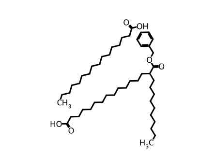 CCCCCCCCCCC(CCCCCCCCCCCCCC(=O)O)C(=O)OCc1ccccc1.CCCCCCCCCCCCCCCC(=O)O